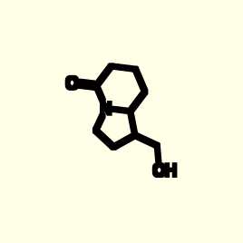 O=C1CCCC2C(CO)CCN12